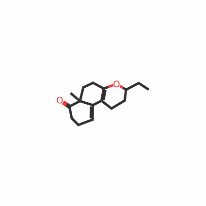 CCC1CCC2=C(CCC3(C)C(=O)CCC=C23)O1